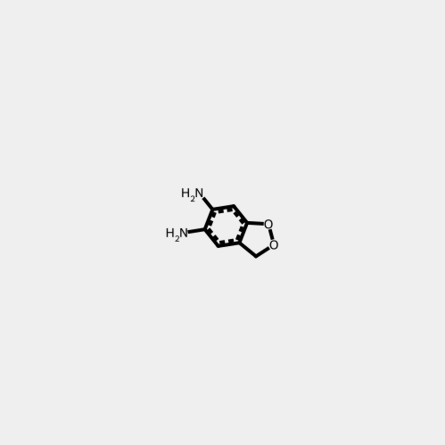 Nc1cc2c(cc1N)OOC2